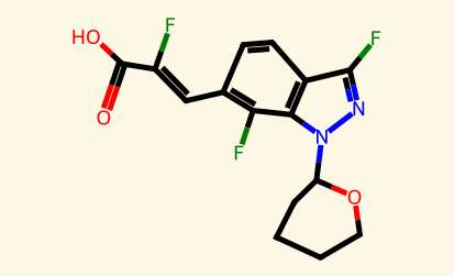 O=C(O)/C(F)=C/c1ccc2c(F)nn(C3CCCCO3)c2c1F